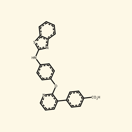 O=C(O)c1ccc(-c2cccnc2Oc2ccc(Nc3nc4ccccc4s3)cc2)cc1